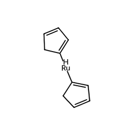 C1=CC[C]([RuH][C]2=CC=CC2)=C1